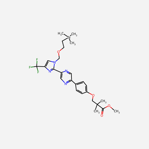 COC(=O)C(C)(C)COc1ccc(-c2cnc(-c3nc(C(F)(F)F)cn3COCC[Si](C)(C)C)cn2)cc1